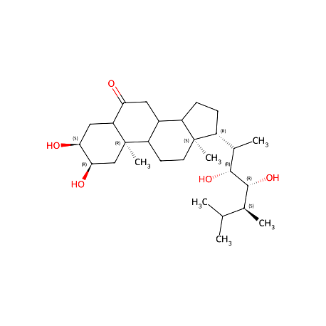 CC([C@@H](O)[C@H](O)[C@@H](C)C(C)C)[C@H]1CCC2C3CC(=O)C4C[C@H](O)[C@H](O)C[C@]4(C)C3CC[C@@]21C